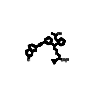 CC(O)Cc1ccccc1C(CCSCC(C(=O)O)C1CC1)c1cccc(C#Cc2ccc3ccc(Cl)cc3n2)c1